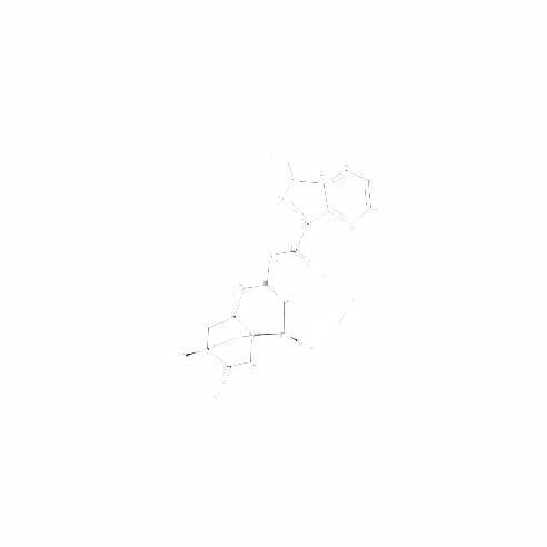 CS(=O)(=O)O.Cn1nc(C(=O)NC2CC3C[C@@H]4C[C@H](C2)N3CC4=O)c2ccccc21